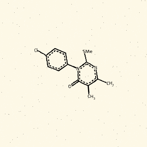 CSc1nc(C)c(C)c(=O)n1-c1ccc(Cl)cc1